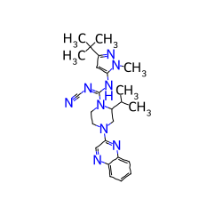 CC(C)C1CN(c2cnc3ccccc3n2)CCN1/C(=N\C#N)Nc1cc(C(C)(C)C)nn1C